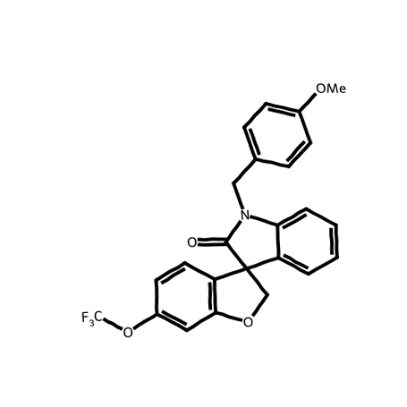 COc1ccc(CN2C(=O)C3(COc4cc(OC(F)(F)F)ccc43)c3ccccc32)cc1